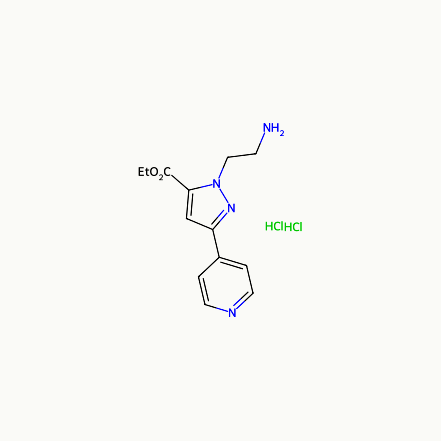 CCOC(=O)c1cc(-c2ccncc2)nn1CCN.Cl.Cl